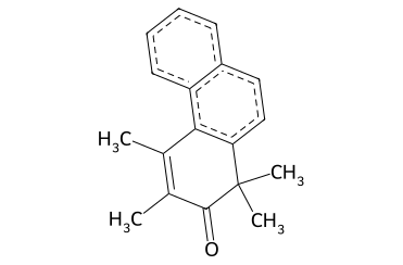 CC1=C(C)c2c(ccc3ccccc23)C(C)(C)C1=O